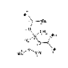 CCCCC(CCC)O[Si](C)(OC(CCC)CCCC)OC(CCC)CCCC